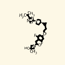 CC(C)c1noc(N2CCC([C@H]3CC3CCOc3cc(F)c(CC(=O)N4CC(C)(O)C4)c(F)c3)CC2)n1